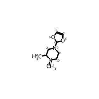 CC1CN(C2OC=CO2)CCN1C